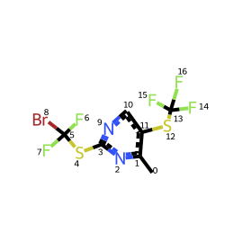 Cc1nc(SC(F)(F)Br)ncc1SC(F)(F)F